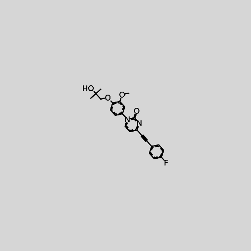 COc1cc(-n2ccc(C#Cc3ccc(F)cc3)nc2=O)ccc1OCC(C)(C)O